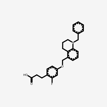 O=C(O)CCc1ccc(OCc2cccc3c2CCCN3Cc2ccccc2)cc1F